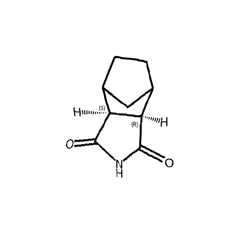 O=C1NC(=O)[C@H]2C3CCC(C3)[C@@H]12